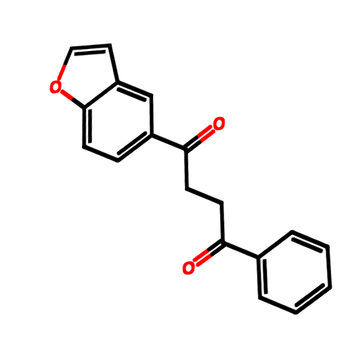 O=C(CCC(=O)c1ccc2occc2c1)c1ccccc1